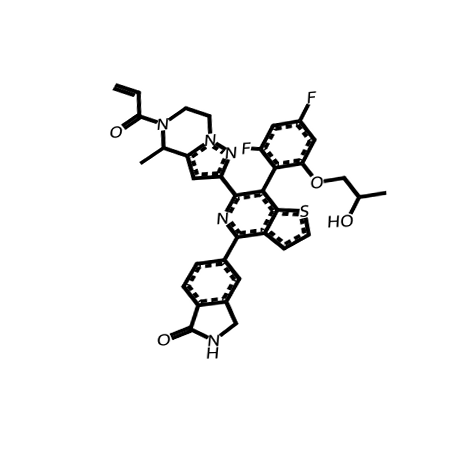 C=CC(=O)N1CCn2nc(-c3nc(-c4ccc5c(c4)CNC5=O)c4ccsc4c3-c3c(F)cc(F)cc3OCC(C)O)cc2C1C